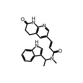 CC(c1c[nH]c2ccccc12)N(C)C(=O)C=Cc1cnc2c(c1)CCC(=O)N2